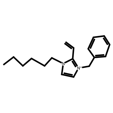 C=Cc1n(CCCCCC)cc[n+]1Cc1ccccc1